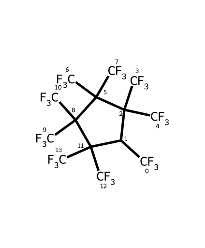 FC(F)(F)C1C(C(F)(F)F)(C(F)(F)F)C(C(F)(F)F)(C(F)(F)F)C(C(F)(F)F)(C(F)(F)F)C1(C(F)(F)F)C(F)(F)F